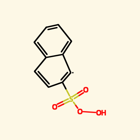 O=S(=O)(OO)c1[c]c2ccccc2cc1